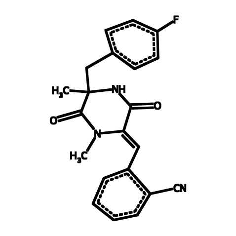 CN1C(=O)C(C)(Cc2ccc(F)cc2)NC(=O)C1=Cc1ccccc1C#N